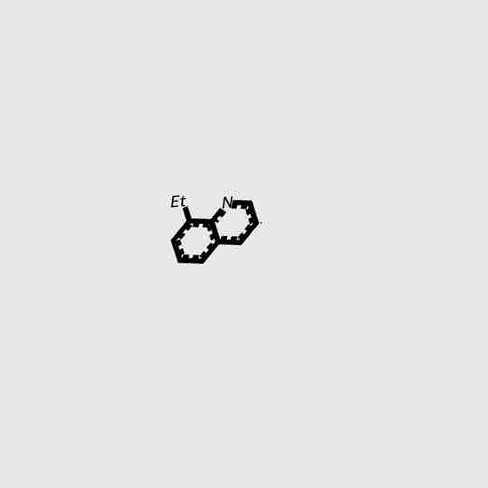 CCc1cccc2c[c]cnc12